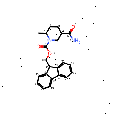 CC1CCC(C(N)=O)CN1C(=O)OCC1c2ccccc2-c2ccccc21